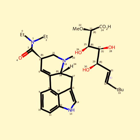 CCN(CC)C(=O)[C@@H]1C=C2c3cccc4[nH]cc(c34)C[C@H]2N(C)C1.CO[C@@H](C(=O)O)[C@H](O)[C@@H](O)[C@H](O)/C=C/C(C)(C)C